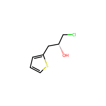 O[C@@H](CCl)Cc1cccs1